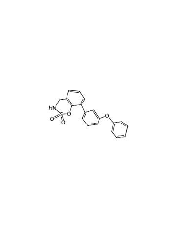 O=S1(=O)NCc2cccc(-c3cccc(Oc4ccccc4)c3)c2O1